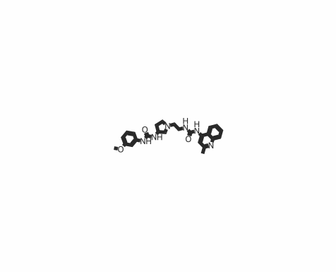 COc1cccc(NC(=O)NC2CCN(CCNC(=O)Nc3cc(C)nc4ccccc34)C2)c1